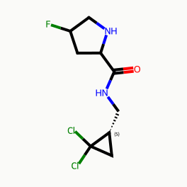 O=C(NC[C@@H]1CC1(Cl)Cl)C1CC(F)CN1